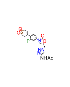 CC(=O)Nc1cn(C[C@H]2CN(c3ccc(C4=CCS(=O)(=O)CC4)c(F)c3)C(=O)O2)nn1